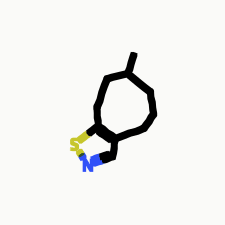 CC1CCCc2cnsc2CC1